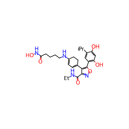 CCNC(=O)c1noc(-c2cc(C(C)C)c(O)cc2O)c1C1=CC=C(NCCCCC(=O)NO)CC1